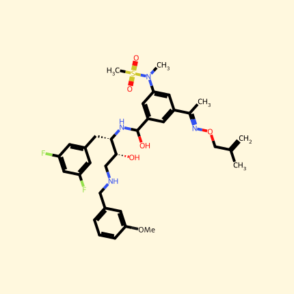 C=C(C)CO/N=C(\C)c1cc(C(O)N[C@@H](Cc2cc(F)cc(F)c2)[C@H](O)CNCc2cccc(OC)c2)cc(N(C)S(C)(=O)=O)c1